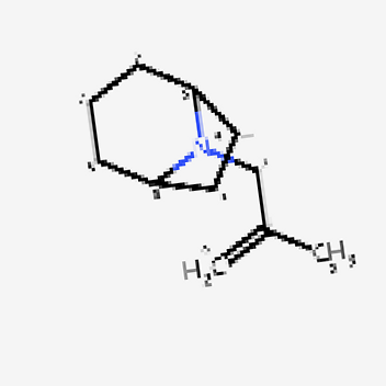 C=C(C)CN1C2CCCC1CC2